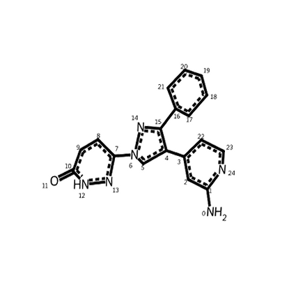 Nc1cc(-c2cn(-c3ccc(=O)[nH]n3)nc2-c2ccccc2)ccn1